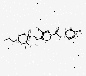 CCC[C@H]1CC[C@@H]2CC(c3ccc(C(=O)Oc4ccc(Cl)cc4)cc3F)CC[C@H]2C1